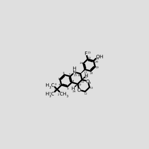 CC(C)(C)c1ccc2c(c1)[C@H]1OCCO[C@H]1[C@H](c1ccc(O)c(F)c1)N2